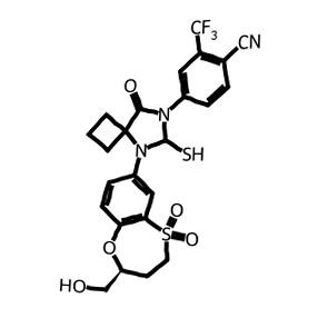 N#Cc1ccc(N2C(=O)C3(CCC3)N(c3ccc4c(c3)S(=O)(=O)CC[C@@H](CO)O4)C2S)cc1C(F)(F)F